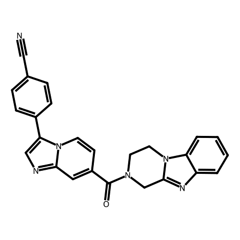 N#Cc1ccc(-c2cnc3cc(C(=O)N4CCn5c(nc6ccccc65)C4)ccn23)cc1